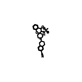 CS(=O)(=O)NC1C(=O)c2ccccc2OC12CCN(C1CCc3cc(C#N)ccc3C1)CC2